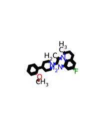 C=C(CN1CCC(c2ccccc2OC)CC1)N1c2c(N)cc(F)cc2CCC1C